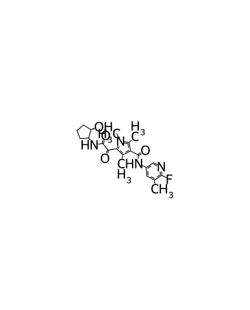 Cc1cc(NC(=O)c2c(C)c(C(=O)C(=O)N[C@H]3CCC[C@H]3O)n(C)c2C)cnc1F